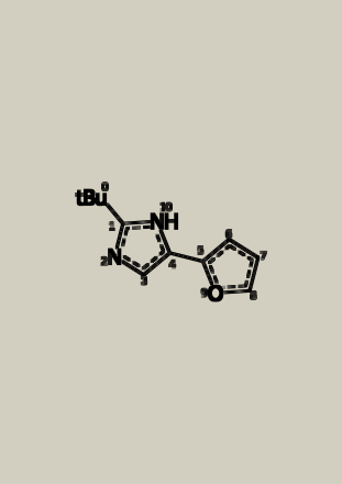 CC(C)(C)c1ncc(-c2ccco2)[nH]1